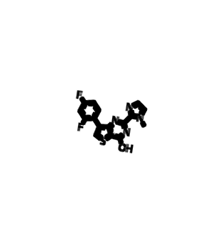 Cn1ccnc1-c1nc(O)c2scc(-c3ccc(F)cc3F)c2n1